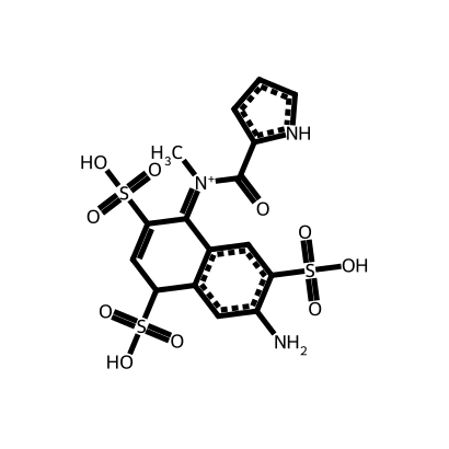 C[N+](C(=O)c1ccc[nH]1)=C1C(S(=O)(=O)O)=CC(S(=O)(=O)O)c2cc(N)c(S(=O)(=O)O)cc21